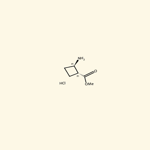 COC(=O)[C@@H]1CC[C@H]1N.Cl